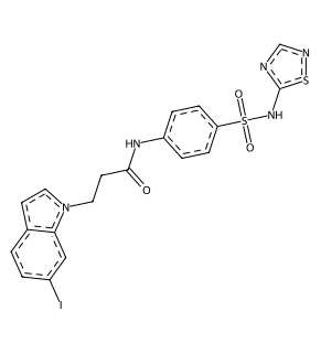 O=C(CCn1ccc2ccc(I)cc21)Nc1ccc(S(=O)(=O)Nc2ncns2)cc1